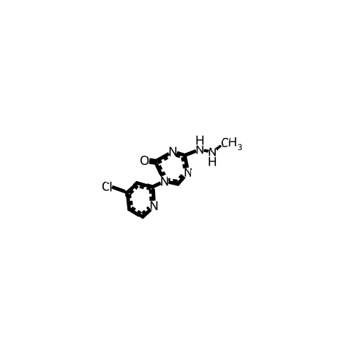 CNNc1ncn(-c2cc(Cl)ccn2)c(=O)n1